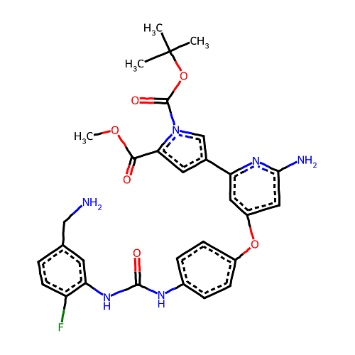 COC(=O)c1cc(-c2cc(Oc3ccc(NC(=O)Nc4cc(CN)ccc4F)cc3)cc(N)n2)cn1C(=O)OC(C)(C)C